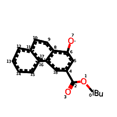 CCC(C)OC(=O)c1cc([O])c2ccc3ccccc3c2c1